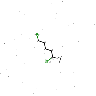 CCC(Br)CCCCBr